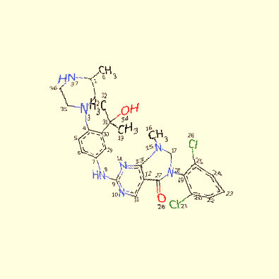 CC1CN(c2ccc(Nc3ncc4c(n3)N(C)CN(c3c(Cl)cccc3Cl)C4=O)cc2C(C)(C)O)CCN1